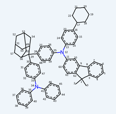 CC1(C)c2ccccc2-c2cc(N(c3ccc(C4CCCCC4)cc3)c3ccc(C4(c5ccc(N(c6ccccc6)c6ccccc6)cc5)C5CC6CC(C5)CC4C6)cc3)ccc21